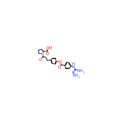 NN=C(N)Nc1ccc(C(=O)Oc2ccc(CCC(=O)N3CCC[C@H]3C(=O)O)cc2)cc1